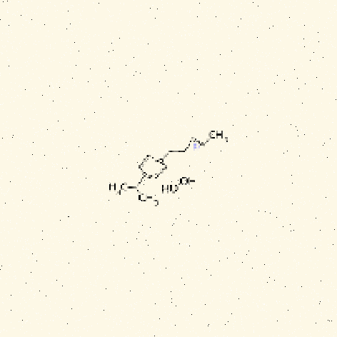 C/C=C/CCc1ccc(C(C)C)cc1.OO